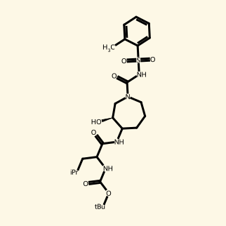 Cc1ccccc1S(=O)(=O)NC(=O)N1CCCC(NC(=O)C(CC(C)C)NC(=O)OC(C)(C)C)[C@@H](O)C1